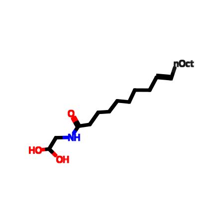 CCCCCCCCC=CCCCCCCCC(=O)NCC(O)O